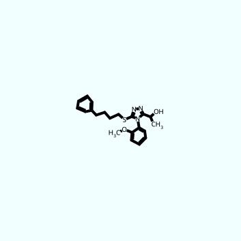 COc1ccccc1-n1c(SCCCCc2ccccc2)nnc1C(C)O